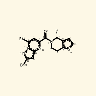 CCc1cc(C(=O)N2CCc3sccc3[C@H]2C)nc2cc(Br)nn12